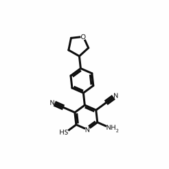 N#Cc1c(N)nc(S)c(C#N)c1-c1ccc(C2CCOC2)cc1